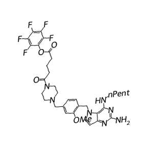 CCCCCNc1nc(N)nc2ccn(Cc3ccc(CN4CCN(C(=O)CCCC(=O)Oc5c(F)c(F)c(F)c(F)c5F)CC4)cc3OC)c12